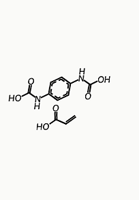 C=CC(=O)O.O=C(O)Nc1ccc(NC(=O)O)cc1